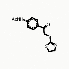 CC(=O)Nc1ccc(C(=O)CSC2=NCCS2)cc1